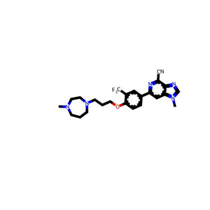 CN1CCCN(CCCOc2ccc(-c3cc4c(ncn4C)c(C#N)n3)cc2C(F)(F)F)CC1